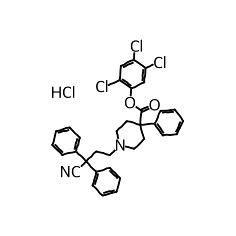 Cl.N#CC(CCN1CCC(C(=O)Oc2cc(Cl)c(Cl)cc2Cl)(c2ccccc2)CC1)(c1ccccc1)c1ccccc1